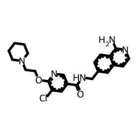 Nc1nccc2cc(CNC(=O)c3cnc(OCCN4CCCCC4)c(Cl)c3)ccc12